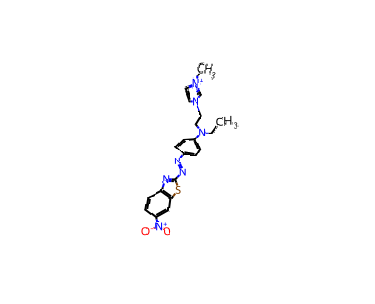 CCN(CCn1cc[n+](C)c1)c1ccc(/N=N/c2nc3ccc([N+](=O)[O-])cc3s2)cc1